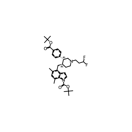 Cc1cc(C)c2c(ccn2C(=O)OC(C)(C)C)c1C[C@@H]1CCN(CCC(F)F)C[C@H]1c1ccc(C(=O)OC(C)(C)C)cc1